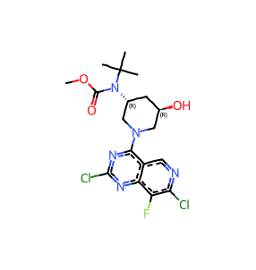 COC(=O)N([C@@H]1C[C@@H](O)CN(c2nc(Cl)nc3c(F)c(Cl)ncc23)C1)C(C)(C)C